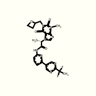 C[C@@H](C(=O)Nc1cccc(-c2cnc(C(C)(F)F)nc2)n1)n1cnc2c1c(=O)n(CC1CCO1)c(=O)n2C